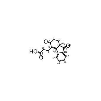 CC12CCC(=O)C(CCC(=O)O)=C1c1ccccc1C2=O